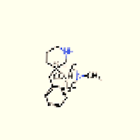 CN(C)C.O=C(O)[C@@]1(Cc2ccccc2)CCCNC1